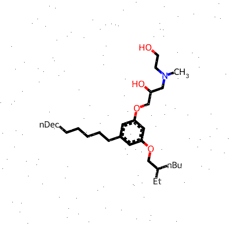 CCCCCCCCCCCCCCCc1cc(OCC(O)CN(C)CCO)cc(OCC(CC)CCCC)c1